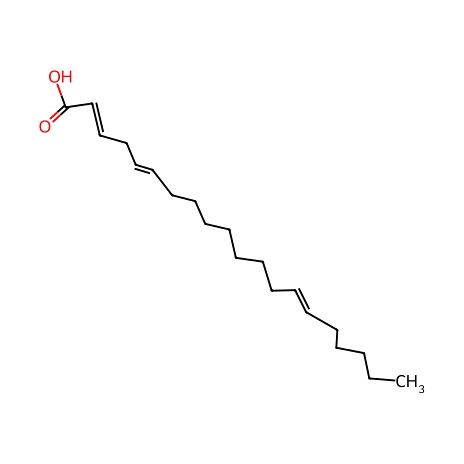 CCCCC/C=C/CCCCCCC/C=C/C/C=C/C(=O)O